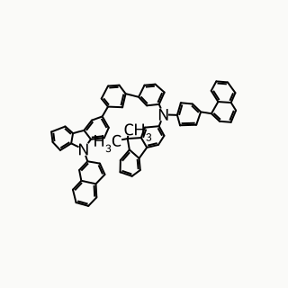 CC1(C)c2ccccc2-c2ccc(N(c3ccc(-c4cccc5ccccc45)cc3)c3cccc(-c4cccc(-c5ccc6c(c5)c5ccccc5n6-c5ccc6ccccc6c5)c4)c3)cc21